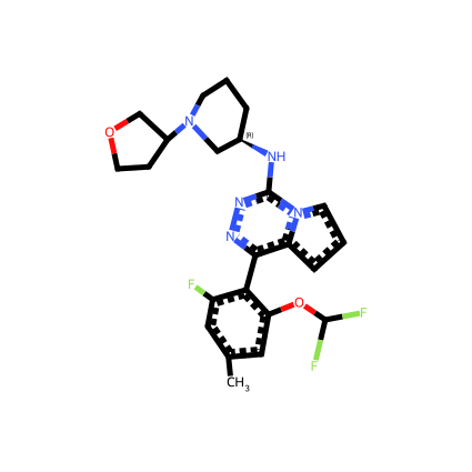 Cc1cc(F)c(-c2nnc(N[C@@H]3CCCN(C4CCOC4)C3)n3cccc23)c(OC(F)F)c1